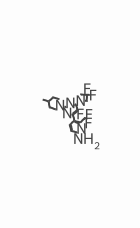 CC1CCN(c2nc(-c3ccc(N)nc3C(F)(F)F)cc(N3CC(F)(F)C3)n2)CC1